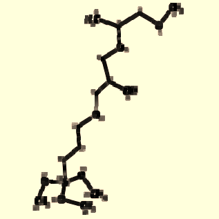 COCC(C)OCC(O)COCCC[Si](OC)(OC)OC